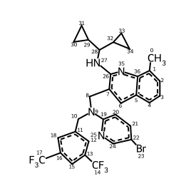 Cc1cccc2cc(CN(Cc3cc(C(F)(F)F)cc(C(F)(F)F)c3)c3ccc(Br)cn3)c(NC(C3CC3)C3CC3)nc12